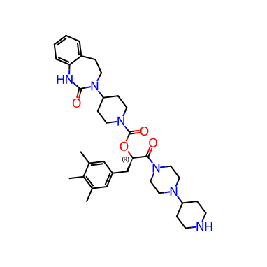 Cc1cc(C[C@@H](OC(=O)N2CCC(N3CCc4ccccc4NC3=O)CC2)C(=O)N2CCN(C3CCNCC3)CC2)cc(C)c1C